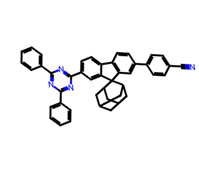 N#Cc1ccc(-c2ccc3c(c2)C2(c4cc(-c5nc(-c6ccccc6)nc(-c6ccccc6)n5)ccc4-3)C3CC4CC(C3)CC2C4)cc1